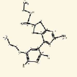 CCCOc1cc(-c2nc(N)nc3c2CN(C(=O)OCC)C3)c(Cl)cc1Br